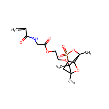 C=CC(=O)NCC(=O)OCCOC1(C)C2(C)CC3C(O2)C1(C)OS3(=O)=O